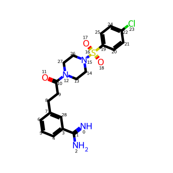 N=C(N)c1cccc(CCC(=O)N2CCN(S(=O)(=O)c3ccc(Cl)cc3)CC2)c1